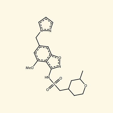 COc1cc(Cn2cccn2)cc2onc(NS(=O)(=O)CC3CCOC(C)C3)c12